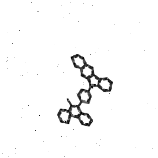 Cc1c(-c2ccc(-n3c4ccccc4c4cc5ccccc5cc43)cc2)c2ccccc2c2ccccc12